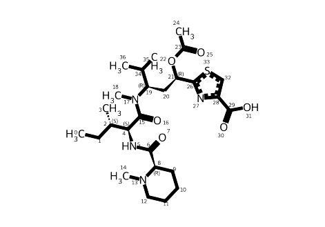 CC[C@H](C)[C@H](NC(=O)[C@H]1CCCCN1C)C(=O)N(C)[C@H](C[C@@H](OC(C)=O)c1nc(C(=O)O)cs1)C(C)C